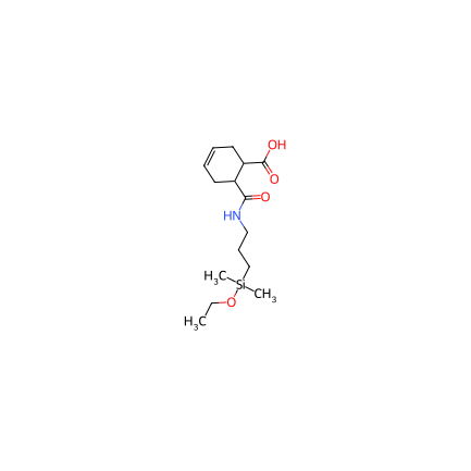 CCO[Si](C)(C)CCCNC(=O)C1CC=CCC1C(=O)O